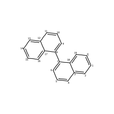 [c]1ccc2cccc(-c3cccc4cc[c]cc34)c2c1